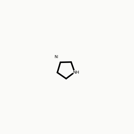 C1CCNC1.[N]